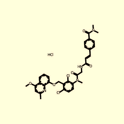 COc1cc(C)nc2c(OCc3c(Cl)ccc(N(C)C(=O)CNC(=O)C=Cc4ccc(C(=O)N(C)C)cc4)c3Cl)cccc12.Cl